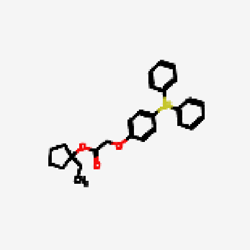 CCC1(OC(=O)COc2ccc([S+](c3ccccc3)c3ccccc3)cc2)CCCC1